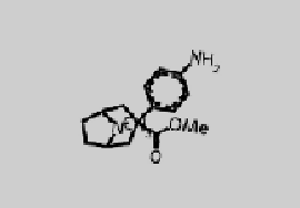 COC(=O)C1(c2ccc(N)cc2)CC2CCC(C1)N2C